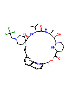 CC(C)[C@@H]1NC(=O)C2(/C=C/c3ccc4ccc(nc4c3)[C@@H](C)OC(=O)[C@@H]3CCCN(N3)C(O)[C@H](C)NC1=O)CCN(CC(F)(F)F)CC2